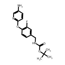 CC(C)(C)OC(=O)NCc1ccc(Oc2ccc(N)cn2)c(F)c1